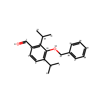 CC(C)c1ccc(C=O)c(C(C)C)c1OCc1ccccc1